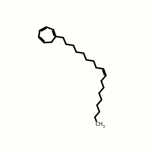 CCCCCCCC/C=C\CCCCCCCCC1=CC=CC=CC1